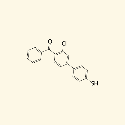 O=C(c1ccccc1)c1ccc(-c2ccc(S)cc2)cc1Cl